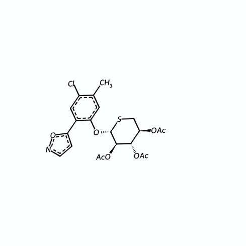 CC(=O)O[C@@H]1[C@@H](OC(C)=O)[C@H](OC(C)=O)CS[C@H]1Oc1cc(C)c(Cl)cc1-c1ccno1